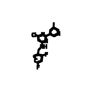 Cc1cncc(-c2nc(Cl)cc(NCc3ccc(F)cc3F)n2)c1